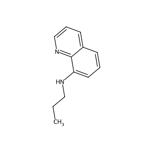 CCCNc1cccc2cccnc12